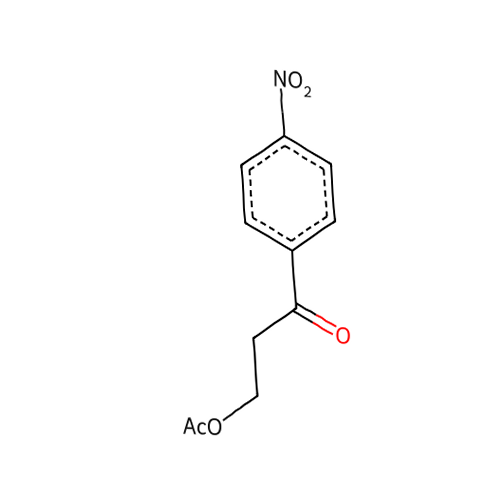 CC(=O)OCCC(=O)c1ccc([N+](=O)[O-])cc1